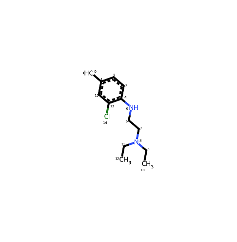 [CH]c1ccc(NCCN(CC)CC)c(Cl)c1